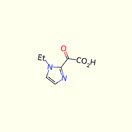 CCn1ccnc1C(=O)C(=O)O